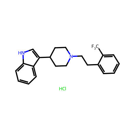 Cl.FC(F)(F)c1ccccc1CCN1CCC(c2c[nH]c3ccccc23)CC1